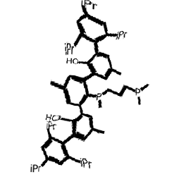 Cc1cc(-c2cc(C)cc(-c3cc(C)cc(-c4c(C(C)C)cc(C(C)C)cc4C(C)C)c3O)c2P(C)CCCP(C)C)c(O)c(-c2c(C(C)C)cc(C(C)C)cc2C(C)C)c1